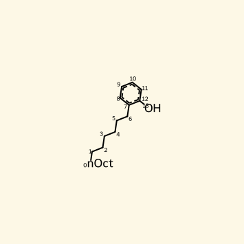 CCCCCCCCCCCCCCc1ccccc1O